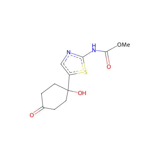 COC(=O)Nc1ncc(C2(O)CCC(=O)CC2)s1